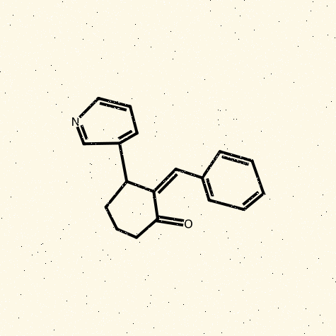 O=C1CCCC(c2cccnc2)C1=Cc1ccccc1